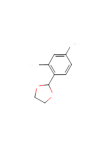 COc1ccc(C2OCCO2)c(C=O)c1